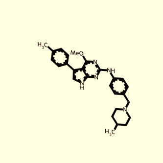 COc1nc(Nc2ccc(CN3CCC(C)CC3)cc2)nc2[nH]cc(-c3ccc(C)cc3)c12